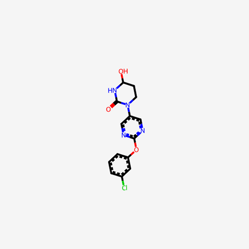 O=C1NC(O)CCN1c1cnc(Oc2cccc(Cl)c2)nc1